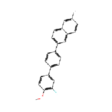 CCCCCCc1ccc2cc(-c3ccc(-c4ccc(OC(F)(F)F)c(F)c4)cc3)ccc2c1